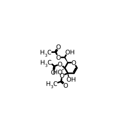 CC(=O)OC(O)[C@H]1OC=C[C@](O)(OC(C)=O)[C@@]1(O)OC(C)=O